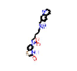 O=C1CSc2ccc(N3CC(CCCNCc4ccc5cccnc5c4)OC3=O)cc2N1